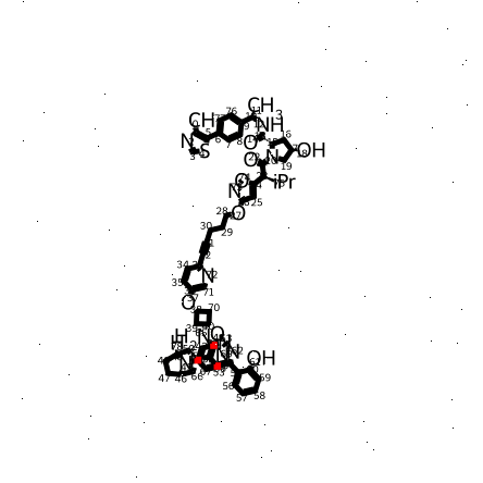 Cc1ncsc1-c1ccc([C@H](C)NC(=O)[C@@H]2C[C@@H](O)CN2C(=O)[C@H](c2cc(OCCCC#Cc3ccc(OC4CC(Oc5cc(N6C7CC[C@@H]6CN(c6cc(-c8ccccc8O)nnc6N)C7)ccn5)C4)cn3)no2)C(C)C)cc1